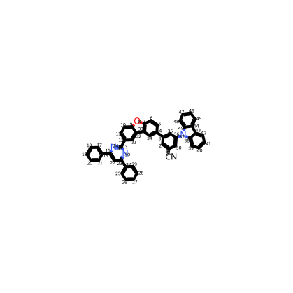 N#Cc1cc(-c2ccc3oc4ccc(-c5nc(-c6ccccc6)cc(-c6ccccc6)n5)cc4c3c2)cc(-n2c3ccccc3c3ccccc32)c1